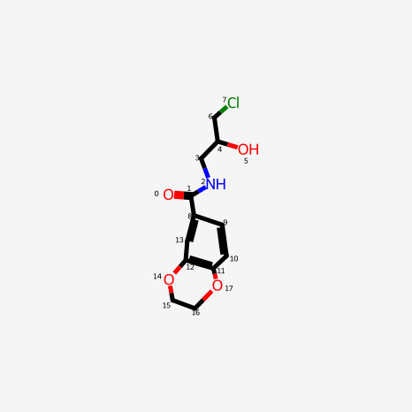 O=C(NCC(O)CCl)c1ccc2c(c1)OCCO2